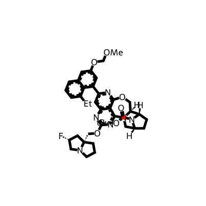 CCc1cccc2cc(OCOC)cc(-c3cc4nc(OC[C@]56CCCN5C[C@H](F)C6)nc5c4c(n3)OC[C@H]3[C@@H]4CC[C@H](CN53)N4C(=O)OC(C)(C)C)c12